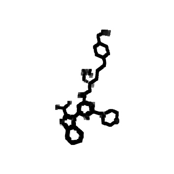 NC[C@H](CCCC1CCC(CO)CC1)CNc1cc(-n2c(C(F)F)nc3ccccc32)nc(N2CCOCC2)n1